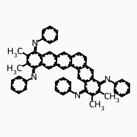 Cc1c(C)c(=Nc2ccccc2)c2cc3cc4c(ccc5cc6c(=Nc7ccccc7)c(C)c(C)c(=Nc7ccccc7)c6cc54)cc3cc2c1=Nc1ccccc1